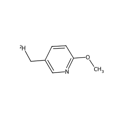 [2H]Cc1ccc(OC)nc1